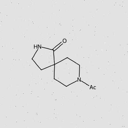 CC(=O)N1CCC2(CCNC2=O)CC1